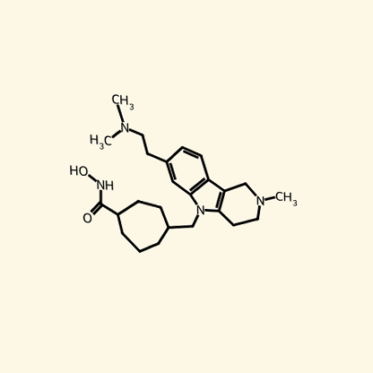 CN(C)CCc1ccc2c3c(n(CC4CCCC(C(=O)NO)CC4)c2c1)CCN(C)C3